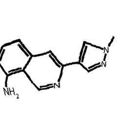 Cn1cc(-c2cc3cccc(N)c3cn2)cn1